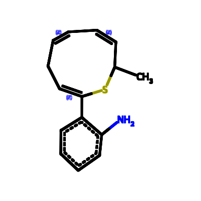 CC1/C=C\C=C/C/C=C(/c2ccccc2N)S1